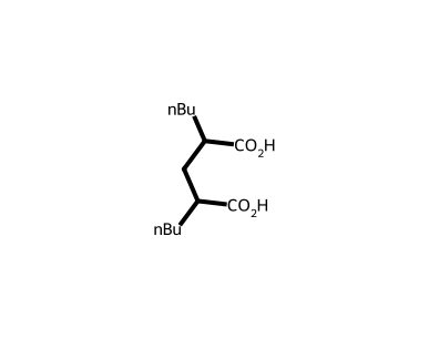 CCCCC(CC(CCCC)C(=O)O)C(=O)O